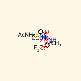 CC(=O)N[C@@H](CSc1cccc2c(=O)n(CC(=O)N[C@@H](C)c3ccc(OC(F)(F)F)cc3)nnc12)C(=O)O